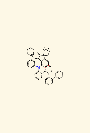 c1ccc(-c2cccc(N(c3ccccc3-c3ccccc3-c3ccccc3-c3ccccc3)c3cccc4c3-c3ccccc3C43CC4CCC3C4)c2)cc1